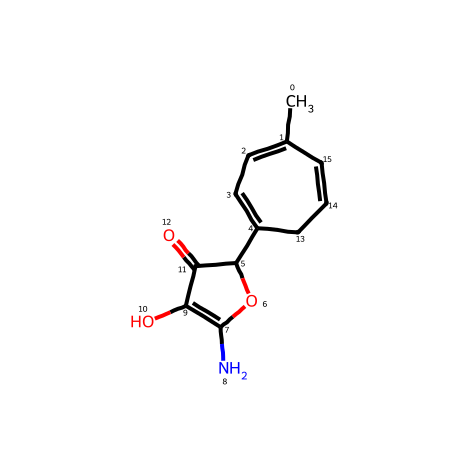 CC1=CC=C(C2OC(N)=C(O)C2=O)CC=C1